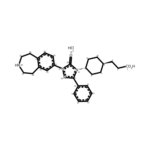 Cl.O=C(O)CC[C@H]1CC[C@H](n2c(-c3ccccc3)nn(-c3ccc4c(c3)CCNCC4)c2=O)CC1